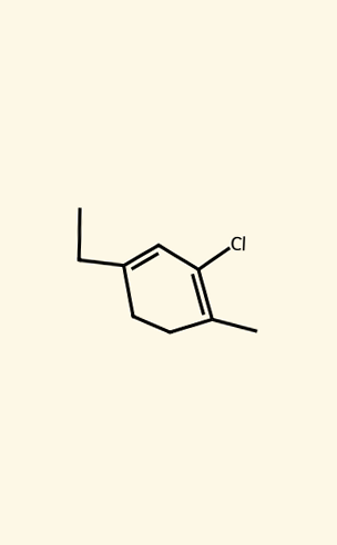 CCC1=CC(Cl)=C(C)CC1